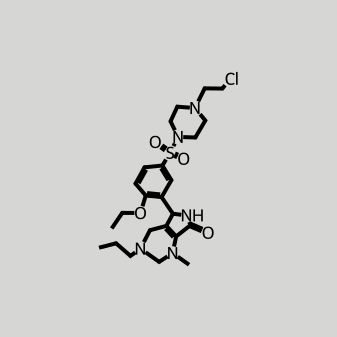 CCCN1CC2=C(C(=O)NC2c2cc(S(=O)(=O)N3CCN(CCCl)CC3)ccc2OCC)N(C)C1